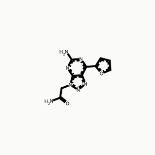 NC(=O)Cn1nnc2c(-c3ccco3)nc(N)nc21